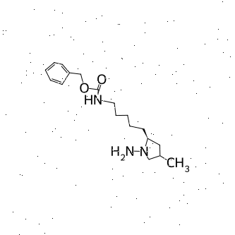 CC1C[C@H](CCCCCNC(=O)OCc2ccccc2)N(N)C1